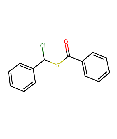 O=C(SC(Cl)c1ccccc1)c1ccccc1